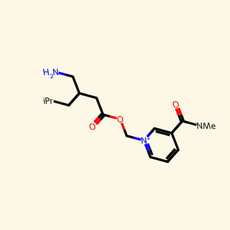 CNC(=O)c1ccc[n+](COC(=O)CC(CN)CC(C)C)c1